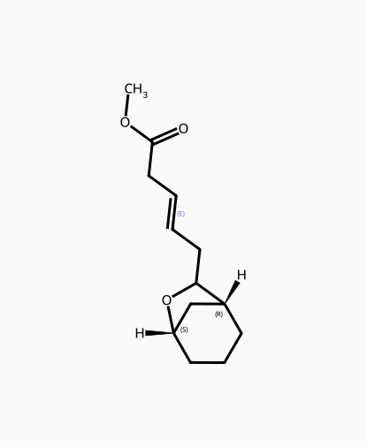 COC(=O)C/C=C/CC1O[C@H]2CCC[C@@H]1C2